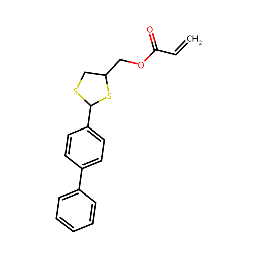 C=CC(=O)OCC1CSC(c2ccc(-c3ccccc3)cc2)S1